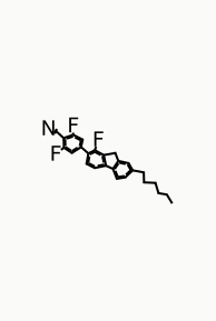 CCCCCCc1ccc2c(c1)Cc1c-2ccc(-c2cc(F)c(C#N)c(F)c2)c1F